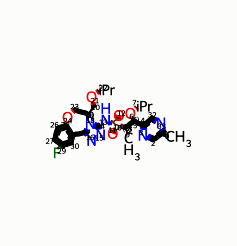 Cc1cnc([C@H](OC(C)C)[C@H](C)S(=O)(=O)Nc2nnc3n2[C@H](COC(C)C)COc2ccc(F)cc2-3)cn1